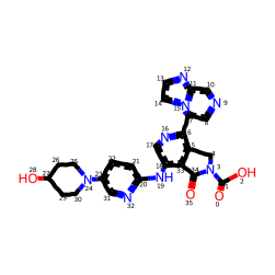 O=C(O)N1Cc2c(-c3cncc4nccn34)ncc(Nc3ccc(N4CCC(O)CC4)cn3)c2C1=O